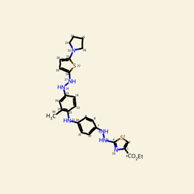 CCOC(=O)c1csc(NNc2ccc(Nc3ccc(NNc4ccc(N5CCCC5)s4)cc3C)cc2)n1